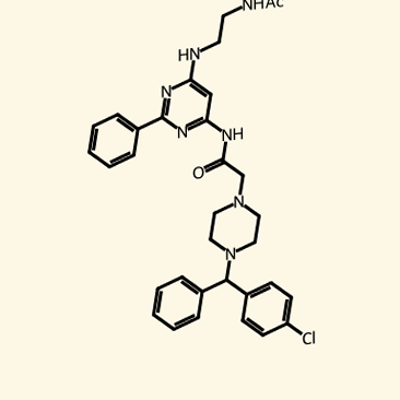 CC(=O)NCCNc1cc(NC(=O)CN2CCN(C(c3ccccc3)c3ccc(Cl)cc3)CC2)nc(-c2ccccc2)n1